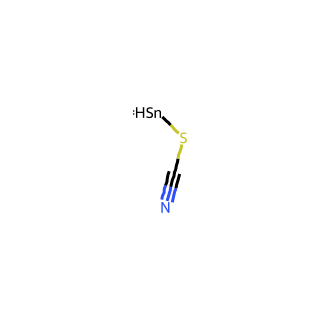 N#C[S][SnH]